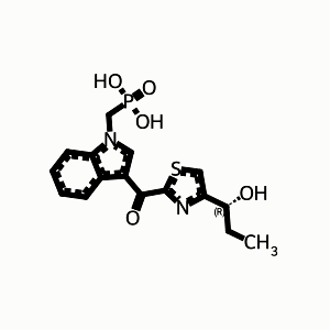 CC[C@@H](O)c1csc(C(=O)c2cn(CP(=O)(O)O)c3ccccc23)n1